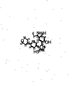 CCc1n[nH]c2cc(O)c(-c3nnc(S)n3-c3ccc(N4CCOCC4)nc3)cc12